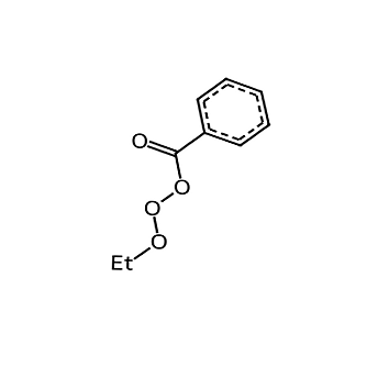 CCOOOC(=O)c1ccccc1